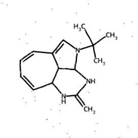 C=C1NC2C=CC=CC3=CN(C(C)(C)C)C(N1)C32